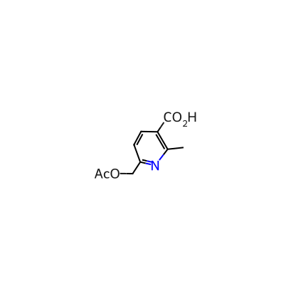 CC(=O)OCc1ccc(C(=O)O)c(C)n1